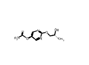 C[C@@H](O)COc1ncc(OC(N)=O)cn1